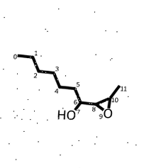 CCCCCCC(O)C1OC1C